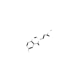 COC(=O)/C=C/n1cnc2ccc(O)cc2c1=O